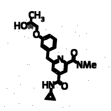 CNC(=O)c1cc(C(=O)NC2CC2)cc(Cc2cccc(OC[C@H](C)O)c2)n1